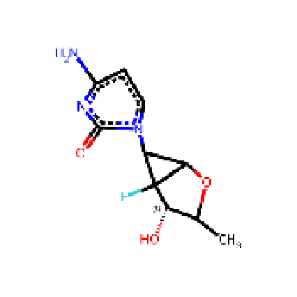 CC1OC2C(n3ccc(N)nc3=O)C2(F)[C@H]1O